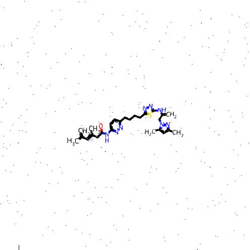 C=C(C)/C=C(\C)CC(=O)Nc1ccc(CCCCc2nnc(NC(=C)Cn3nc(C)cc3C)s2)nn1